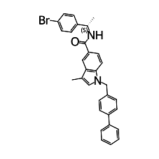 Cc1cn(Cc2ccc(-c3ccccc3)cc2)c2ccc(C(=O)N[C@@H](C)c3ccc(Br)cc3)cc12